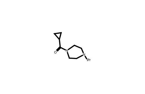 CC(C)N1CCN(C(=O)C2CC2)CC1